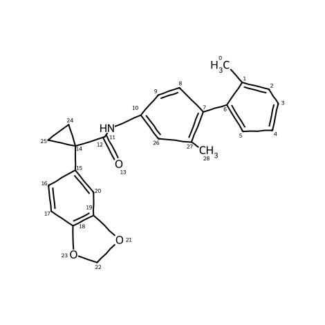 Cc1ccccc1-c1ccc(NC(=O)C2(c3ccc4c(c3)OCO4)CC2)cc1C